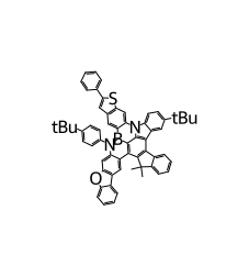 CC(C)(C)c1ccc(N2B3c4cc5cc(-c6ccccc6)sc5cc4-n4c5ccc(C(C)(C)C)cc5c5c6c(c(c3c54)-c3cc4c(cc32)oc2ccccc24)C(C)(C)c2ccccc2-6)cc1